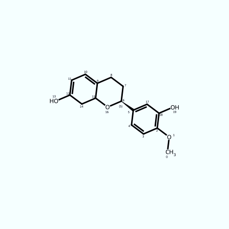 COc1ccc([C@@H]2CCC3=CC=C(O)CC3O2)cc1O